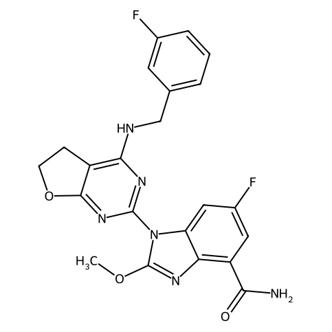 COc1nc2c(C(N)=O)cc(F)cc2n1-c1nc(NCc2cccc(F)c2)c2c(n1)OCC2